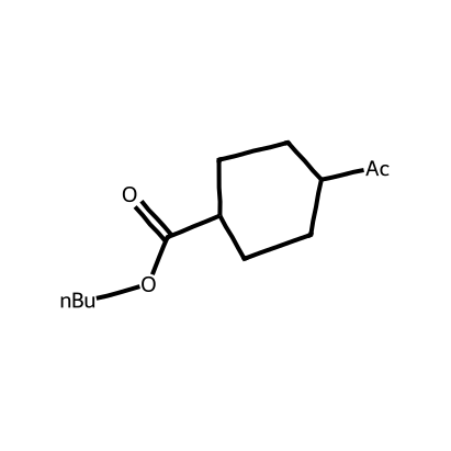 CCCCOC(=O)C1CCC(C(C)=O)CC1